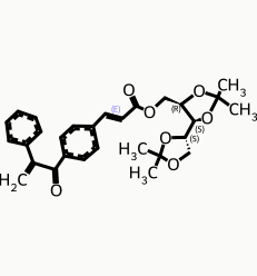 C=C(C(=O)c1ccc(/C=C/C(=O)OC[C@H]2OC(C)(C)O[C@H]2[C@@H]2COC(C)(C)O2)cc1)c1ccccc1